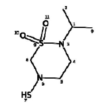 CC(C)N1CCN(S)CS1(=O)=O